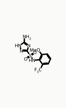 COc1cccc(C(F)(F)F)c1NS(=O)(=O)c1n[nH]c(N)n1